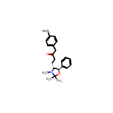 CNc1ccc(CC(=O)CC[C@@H]2[C@@H](c3ccccc3)OC(C)(C)N2C)cc1